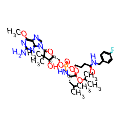 COc1nc(N)nc2c1ncn2[C@@H]1O[C@H](COP(=O)(N[C@@H](CC(C)C)C(=O)OC(C)C)OCCCC(=O)NCc2ccc(F)cc2)[C@@H](O)C1(C)C